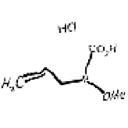 C=CCN(OC)C(=O)O.Cl